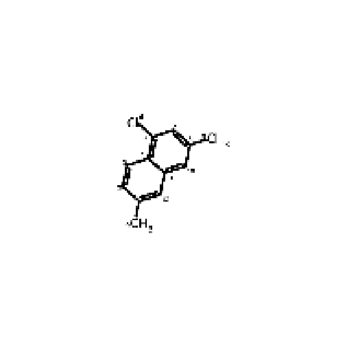 Cc1ccc2c(Cl)cc(C)cc2c1